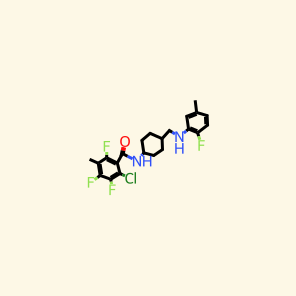 Cc1ccc(F)c(NCC2CCC(NC(=O)c3c(F)c(C)c(F)c(F)c3Cl)CC2)c1